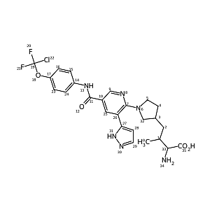 CC(CC1CCN(c2ncc(C(=O)Nc3ccc(OC(F)(F)Cl)cc3)cc2-c2ccn[nH]2)C1)C(N)C(=O)O